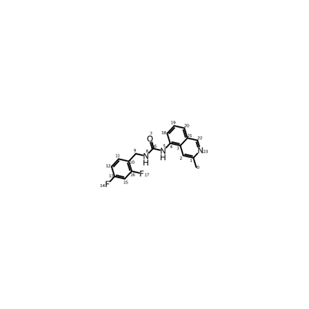 Cc1cc2c(NC(=O)NCc3ccc(F)cc3F)cccc2cn1